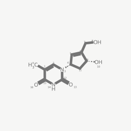 Cc1cn([C@@H]2C=C(CO)[C@H](O)C2)c(=O)[nH]c1=O